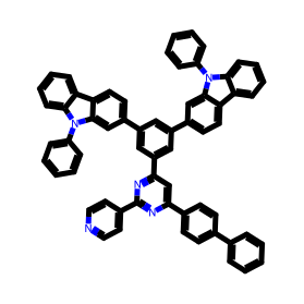 c1ccc(-c2ccc(-c3cc(-c4cc(-c5ccc6c7ccccc7n(-c7ccccc7)c6c5)cc(-c5ccc6c7ccccc7n(-c7ccccc7)c6c5)c4)nc(-c4ccncc4)n3)cc2)cc1